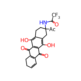 CC(=O)C1(NC(=O)C(F)(F)F)CCc2c(O)c3c(c(O)c2C1)C(=O)C1=C(CCC=C1)C3=O